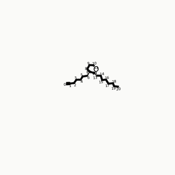 C#CCCCCC[C@H]1CCCO[C@@H]1CCCCCCCC